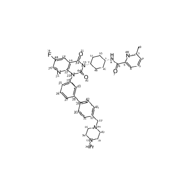 Cc1cccc(C(=O)N[C@H]2CC[C@@H](n3c(=O)c4cc(F)cnc4n(-c4cccc(-c5ccc(CN6CCN(C(C)C)CC6)cc5)c4)c3=O)CC2)n1